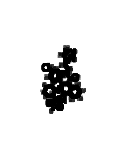 CS(=O)(=O)N[C@H]1CCCC[C@@H]1N1C(=O)c2ccccc2[C@@H](C(=O)NCCn2ccnn2)[C@@H]1c1ccc(Cl)cc1